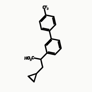 O=C(O)C(CC1CC1)c1cccc(-c2ccc(C(F)(F)F)cc2)c1